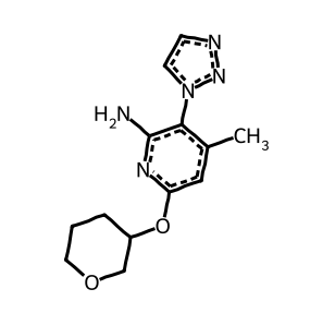 Cc1cc(OC2CCCOC2)nc(N)c1-n1ccnn1